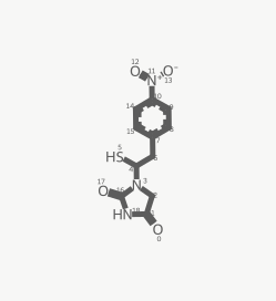 O=C1CN(C(S)Cc2ccc([N+](=O)[O-])cc2)C(=O)N1